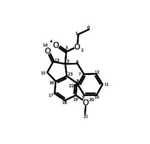 CCOC(=O)C1(Cc2ccccc2)C(=O)Cc2ccc(OC)cc21